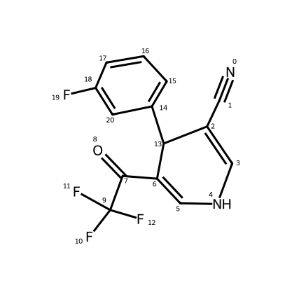 N#CC1=CNC=C(C(=O)C(F)(F)F)C1c1cccc(F)c1